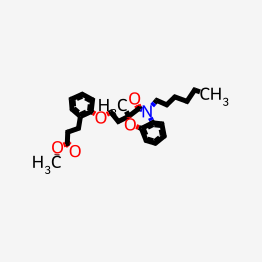 CCCCCCN1C(=O)C(C)(CCOc2ccccc2CCC(=O)OC)Oc2ccccc21